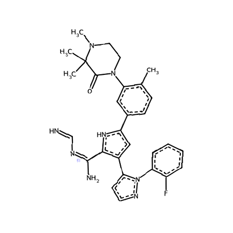 Cc1ccc(-c2cc(-c3ccnn3-c3ccccc3F)c(/C(N)=N\C=N)[nH]2)cc1N1CCN(C)C(C)(C)C1=O